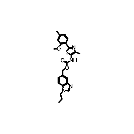 CCCn1cnc2cc(COC(=O)Nc3sc(-c4ccc(C)cc4OC)nc3C)ccc21